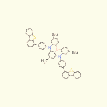 Cc1cc2c3c(c1)N(c1ccc(-c4cccc5c4sc4ccccc45)cc1)c1cc(C(C)(C)C)ccc1B3c1ccc(C(C)(C)C)cc1N2c1ccc(-c2cccc3c2sc2ccccc23)cc1